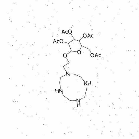 CC(=O)OCC1OC(OCCN2CCNCCNCCNCC2)C(OC(C)=O)C(OC(C)=O)C1OC(C)=O